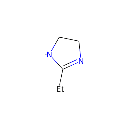 CCC1=NCC[N]1